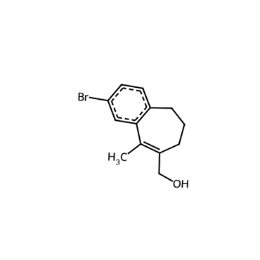 CC1=C(CO)CCCc2ccc(Br)cc21